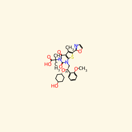 COc1ccccc1[C@H](Cn1c(=O)n(C(C)(C)C(=O)O)c(=O)c2c(C)c(-c3ncco3)sc21)O[C@H]1CC[C@H](O)CC1